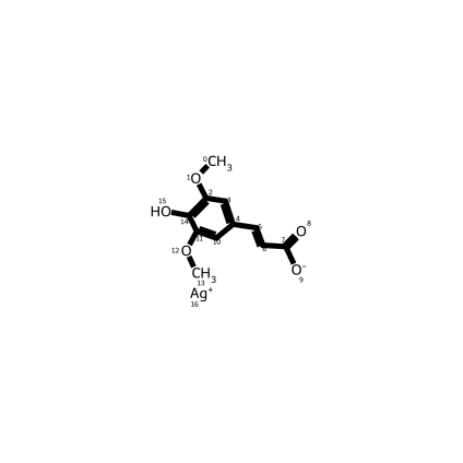 COc1cc(C=CC(=O)[O-])cc(OC)c1O.[Ag+]